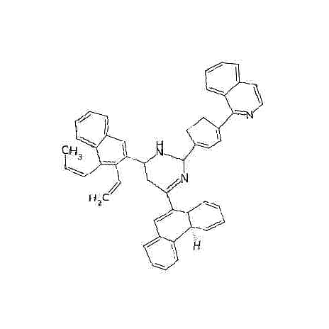 C=Cc1c(C2CC(C3=Cc4ccccc4[C@@H]4C=CC=CC34)=NC(C3=CC=C(c4nccc5ccccc45)CC3)N2)cc2ccccc2c1/C=C\C